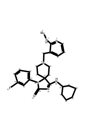 CCC(C)Nc1ncccc1CN1CCC2(CC1)C(NC1CCCCC1)=NC(=O)N2c1cccc(F)c1